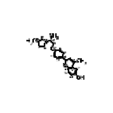 CC1=CC(c2ccc(OC[C@H](C)N3CC[C@@H](C)C3)cc2)Oc2ccc(O)cc21